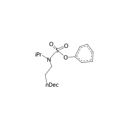 CCCCCCCCCCCCN(C(C)C)S(=O)(=O)Oc1ccccc1